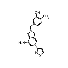 Cc1ccc(CN2CC34C=CC=C3N(c3ccsn3)C=C(N)C4=N2)cc1O